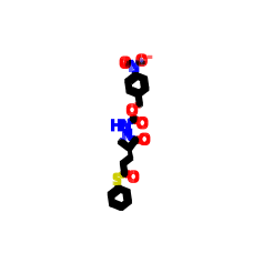 O=C(NN1C[C@H](CCC(=O)Sc2ccccc2)C1=O)OCc1ccc([N+](=O)[O-])cc1